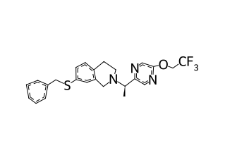 C[C@H](c1cnc(OCC(F)(F)F)cn1)N1CCc2ccc(SCc3ccccc3)cc2C1